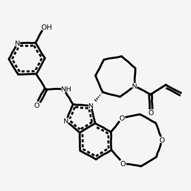 C=CC(=O)N1CCCC[C@@H](n2c(NC(=O)c3ccnc(O)c3)nc3ccc4c(c32)OCCOCCO4)C1